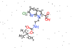 CC(C)(C)OC(=O)NCCn1c(C(=O)O)cc2ccc(Cl)nc21